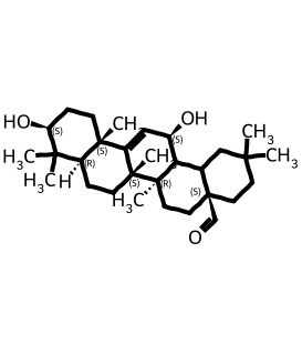 CC1(C)CC[C@]2(C=O)CC[C@]3(C)C(C2C1)[C@H](O)C=C1[C@@]2(C)CC[C@H](O)C(C)(C)[C@@H]2CC[C@]13C